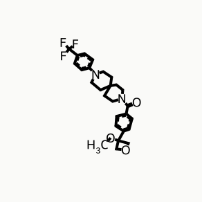 COC1(c2ccc(C(=O)N3CCC4(CC3)CCN(c3ccc(C(F)(F)F)cc3)CC4)cc2)COC1